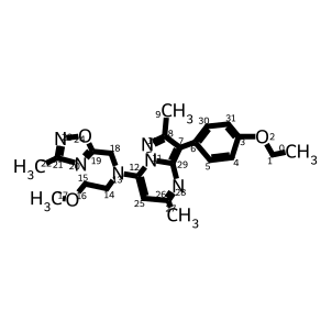 CCOc1ccc(-c2c(C)nn3c(N(CCOC)Cc4nc(C)no4)cc(C)nc23)cc1